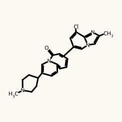 Cc1cn2cc(C3=C\C(=O)N4C=C(C5CCN(C)CC5)C=C\C4=C/C=C/3)cc(Cl)c2n1